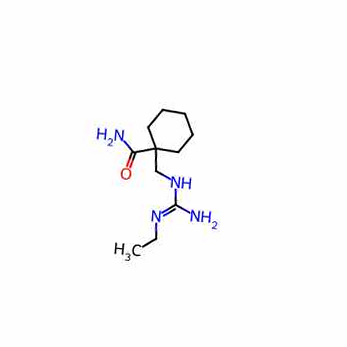 CCN=C(N)NCC1(C(N)=O)CCCCC1